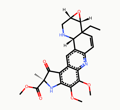 CCC12C=Cc3nc4c(OC)c(OC)c5c(c4cc3[C@@H]1NC[C@@H]1O[C@@H]12)C(=O)[C@](C)(C(=O)OC)N5